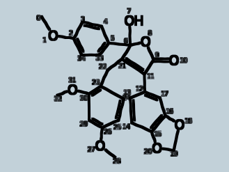 COc1ccc(C2(O)OC(=O)C(c3ccc4c(c3)OCO4)=C2Cc2ccc(OC)cc2OC)cc1